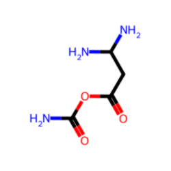 NC(=O)OC(=O)CC(N)N